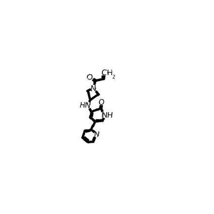 C=CC(=O)N1CC(Nc2cc(-c3ccccn3)c[nH]c2=O)C1